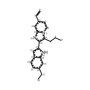 C=Cc1ccn2c(CCC)c(-c3cc4ccc(CC)cc4[nH]3)nc2c1